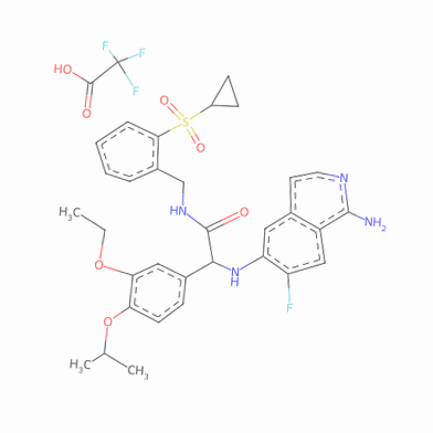 CCOc1cc(C(Nc2cc3ccnc(N)c3cc2F)C(=O)NCc2ccccc2S(=O)(=O)C2CC2)ccc1OC(C)C.O=C(O)C(F)(F)F